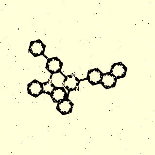 c1ccc(-c2ccc(-c3nc(-c4ccccc4)nc(-c4ccc5c(ccc6ccccc65)c4)n3)c(-n3c4ccccc4c4ccccc43)c2)cc1